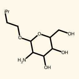 CC(C)CCOC1OC(CO)C(O)C(O)C1N